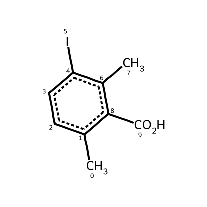 Cc1ccc(I)c(C)c1C(=O)O